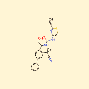 C#Cc1nc(NC(=O)NC(CO)c2ccc(-c3ccccc3)cc2C2(C#N)CC2)cs1